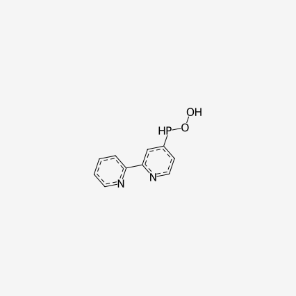 OOPc1ccnc(-c2ccccn2)c1